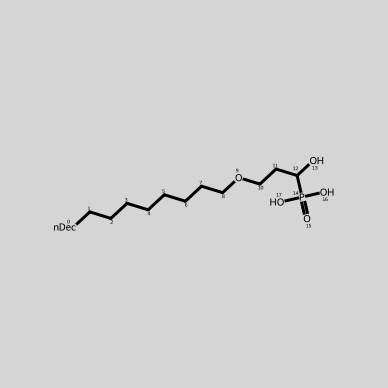 CCCCCCCCCCCCCCCCCCOCCC(O)P(=O)(O)O